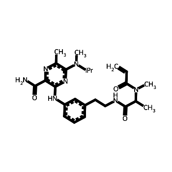 C=CC(=O)N(C)C(C)C(=O)NCCc1cccc(Nc2nc(N(C)C(C)C)c(C)nc2C(N)=O)c1